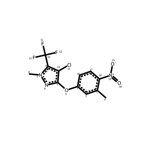 Cc1cc(Oc2nn(C)c(C(F)(F)F)c2Cl)ccc1[N+](=O)[O-]